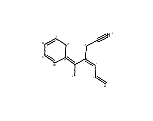 C=C/C=C(CC#N)\C(C)=C1\C=CC=CC1